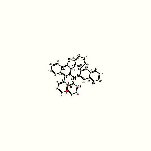 c1ccc(-c2c(N(c3ccccc3)c3ccc4ccccc4c3)c3c4ccccc4sc3c3ccccc23)cc1